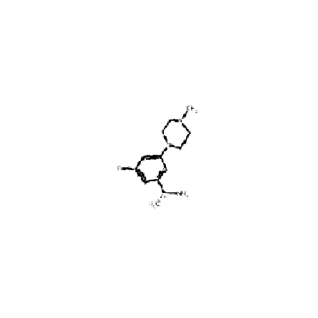 C[C@@H](N)c1cc(F)cc(N2CCN(C)CC2)c1